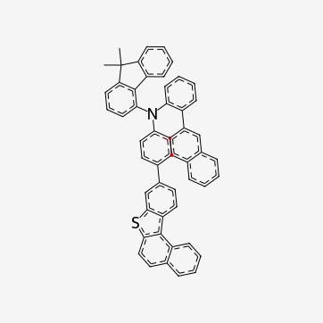 CC1(C)c2ccccc2-c2c(N(c3ccc(-c4ccc5c(c4)sc4ccc6ccccc6c45)cc3)c3ccccc3-c3ccc4ccccc4c3)cccc21